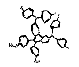 COc1ccc(-c2c(-c3ccc(OC)cc3)c3ccc(N(c4ccc(F)cc4)c4ccc(F)cc4)cc3c3cc(N(c4ccc(F)cc4)c4ccc(F)cc4)ccc23)cc1